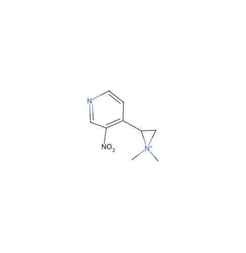 C[N+]1(C)CC1c1ccncc1[N+](=O)[O-]